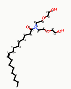 CCCCCCCC/C=C\CCCCCCCC(=O)N(CCOCCO)CCOCCO